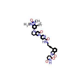 CC(C)c1cc(N2CCCc3cn(-c4ccc(C(=O)NCCC#Cc5cccc6c5CN(C5CCC(=O)NC5=O)C6=O)nc4)c(=O)cc32)cc2c1n(C)c(=O)n2C